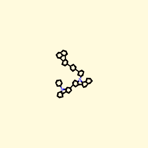 c1ccc(-n2c3ccccc3c3ccc(-c4ccc5c(c4)c4ccc6ccccc6c4n5-c4cccc(-c5ccc(-c6ccc7c(c6)-c6cccc8cccc-7c68)cc5)c4)cc32)cc1